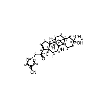 C[C@@]1(O)CC[C@@]23C[C@@]2(CC[C@@H]2[C@@H]3CC[C@]3(C)C(C(=O)Cn4cc(C#N)cn4)=CC[C@@H]23)C1